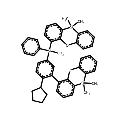 C[Si]1(C)c2ccccc2Oc2c(-c3cc([Si](C)(c4ccccc4)c4cccc5c4Oc4ccccc4[Si]5(C)C)ccc3C3CCCC3)cccc21